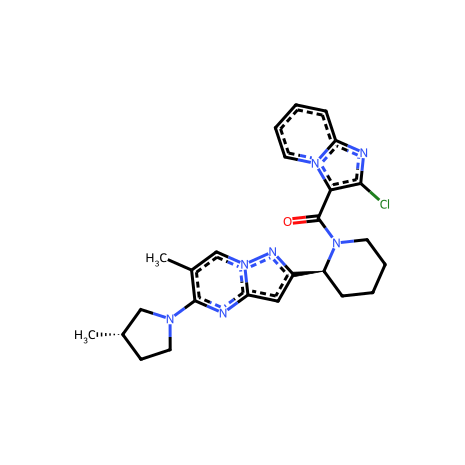 Cc1cn2nc([C@@H]3CCCCN3C(=O)c3c(Cl)nc4ccccn34)cc2nc1N1CC[C@H](C)C1